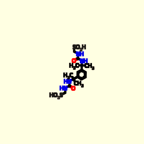 CC(C)(NC(=O)NCS(=O)(=O)O)c1cccc(C(C)(C)NC(=O)NCS(=O)(=O)O)c1